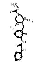 COC(=O)N1C[C@@H](C)N(Cc2cccc(NC(=O)Nc3cccnc3)c2F)[C@@H](C)C1